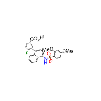 COc1ccc(S(=O)(=O)Nc2ccc(-c3cc(C(=O)O)ccc3F)c3ccccc23)c(OC)c1